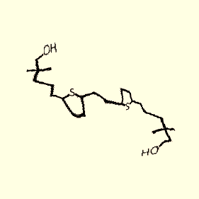 CC(C)(CO)CCCC1CCC(CCC2CCC(CCCC(C)(C)CO)S2)S1